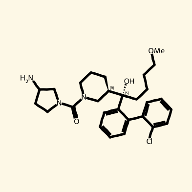 COCCCC[C@@](O)(c1ccccc1-c1ccccc1Cl)[C@@H]1CCCN(C(=O)N2CCC(N)C2)C1